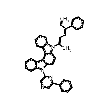 C=C/C(=C\C=C(/C)n1c2ccccc2c2c3c4ccccc4n(-c4cncc(-c5ccccc5)n4)c3ccc21)c1ccccc1